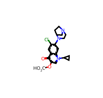 O=C(O)Oc1cn(C2CC2)c2cc(N3CCN4CCC3C4)c(Cl)cc2c1=O